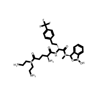 CN(C(=O)[C@@H](CCc1ccc(C(F)(F)F)cc1)NC(=O)[C@@H](N)CCC(=O)N(CCN)CCN)[C@@H]1OB(O)c2ccccc21